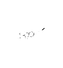 C#CCOc1ccc2nc([SH](=O)=O)sc2c1